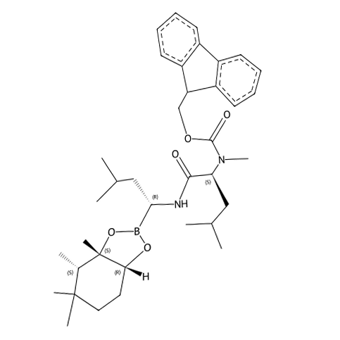 CC(C)C[C@H](NC(=O)[C@H](CC(C)C)N(C)C(=O)OCC1c2ccccc2-c2ccccc21)B1O[C@@H]2CCC(C)(C)[C@H](C)[C@]2(C)O1